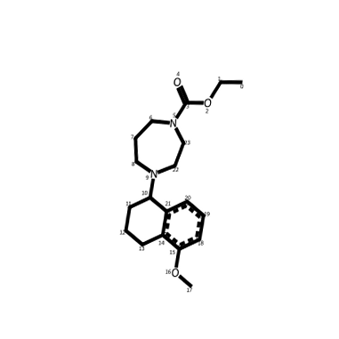 CCOC(=O)N1CCCN(C2CCCc3c(OC)cccc32)CC1